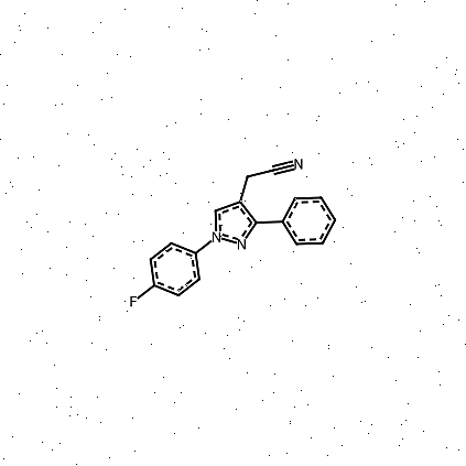 N#CCc1cn(-c2ccc(F)cc2)nc1-c1ccccc1